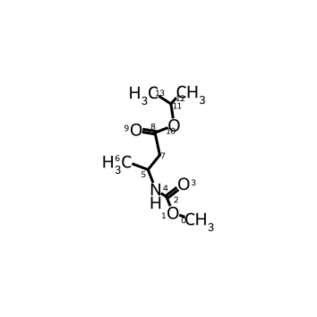 COC(=O)NC(C)CC(=O)OC(C)C